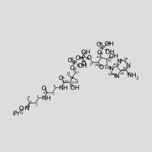 C/C(CCNC(=O)CCNC(=O)[C@H](O)C(C)(C)COP(=O)(O)OP(=O)(O)OCC1OC(n2cnc3c(N)ncnc32)C(O)C1OP(=O)(O)O)=N\OC(C)C